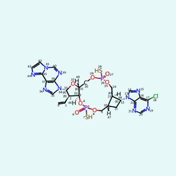 C=C[C@@H]1[C@@H]2OP(=O)(S)OC[C@H]3C[C@@H](n4cnc5c(Cl)ncnc54)[C@@H]3COP(=O)(S)OC[C@H]2O[C@H]1n1cnc2c1ncn1ccnc21